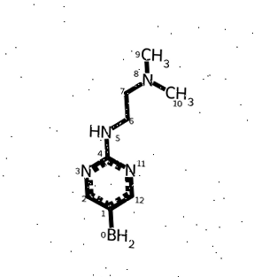 Bc1cnc(NCCN(C)C)nc1